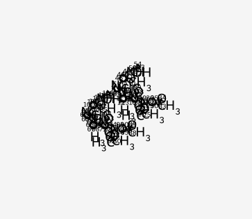 COc1cc(-c2nccc(-c3cccc(-c4ccc(CN(C(=O)OC(C)(C)C)C5CCN(C(C)=O)CC5)c(OC)n4)c3Cl)c2Cl)ccc1CNCC1(O)CC1.COc1cc(-c2nccc(-c3cccc(-c4ccc(CN(C(=O)OC(C)(C)C)C5CCN(C(C)=O)CC5)c(OC)n4)c3Cl)c2Cl)ccc1CNCC1(O)CC1